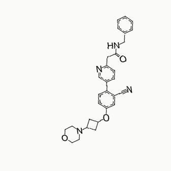 N#Cc1cc(OC2CC(N3CCOCC3)C2)ccc1-c1ccc(CC(=O)NCc2ccccc2)nc1